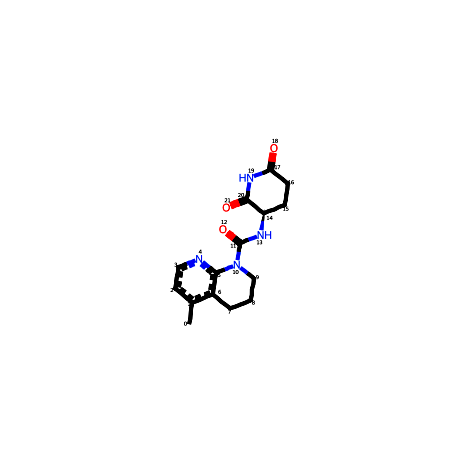 Cc1ccnc2c1CCCN2C(=O)N[C@@H]1CCC(=O)NC1=O